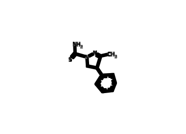 CC1=NN(C(N)=S)CC1c1ccccc1